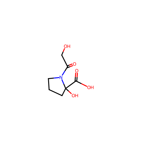 O=C(CO)N1CCCC1(O)C(=O)O